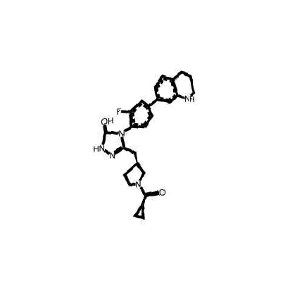 O=C(C1CC1)N1CC[C@@H](CC2=NNC(O)N2c2ccc(-c3ccc4c(c3)NCCC4)cc2F)C1